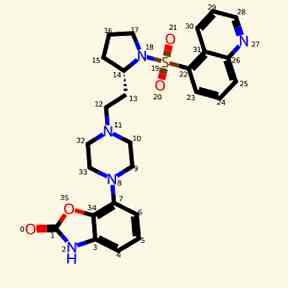 O=c1[nH]c2cccc(N3CCN(CC[C@@H]4CCCN4S(=O)(=O)c4cccc5ncccc45)CC3)c2o1